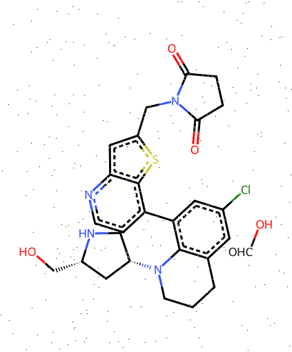 O=C1CCC(=O)N1Cc1cc2nccc(-c3cc(Cl)cc4c3N([C@H]3CN[C@@H](CO)C3)CCC4)c2s1.O=CO